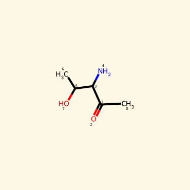 CC(=O)C(N)C(C)O